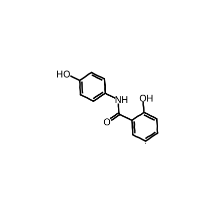 O=C(Nc1ccc(O)cc1)c1c[c]ccc1O